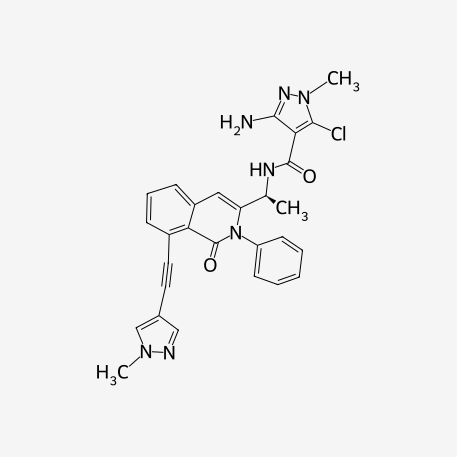 C[C@H](NC(=O)c1c(N)nn(C)c1Cl)c1cc2cccc(C#Cc3cnn(C)c3)c2c(=O)n1-c1ccccc1